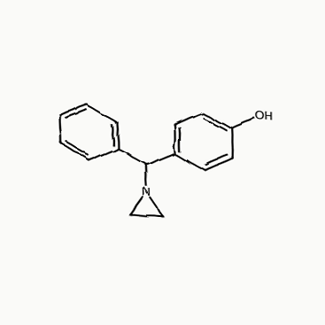 Oc1ccc(C(c2ccccc2)N2CC2)cc1